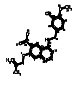 C=C(C)COc1cc2ncnc(NCc3ccc(OC)c(Cl)c3)c2cc1[N+](=O)[O-]